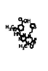 COc1cc(C(=O)O)ccc1Nc1ncc2c(n1)N(CCc1cccs1)CC(F)(F)C(=O)N2C